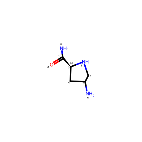 [NH]C(=O)[C@@H]1CC(N)CN1